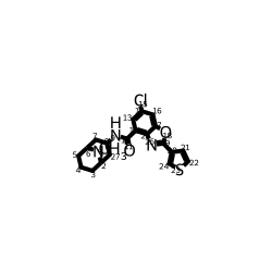 CN1C2CCCC1CC(NC(=O)c1cc(Cl)cc3oc(-c4ccsc4)nc13)C2